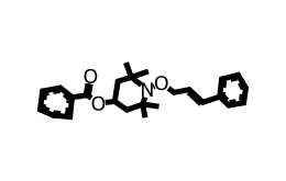 CC1(C)CC(OC(=O)c2ccccc2)CC(C)(C)N1OCC=Cc1ccccc1